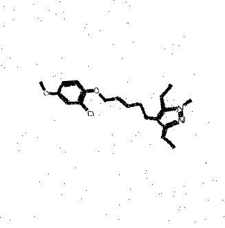 CCc1nn(C)c(CC)c1CCCCCOc1ccc(OC)cc1Cl